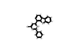 Ic1cc(-c2cccc3c2sc2ccccc23)nc(-c2ccccc2)n1